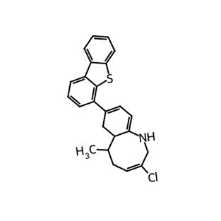 CC1C/C=C(/Cl)CNC2=CC=C(c3cccc4c3sc3ccccc34)CC21